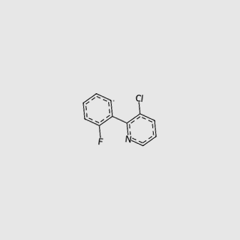 Fc1ccc[c]c1-c1ncccc1Cl